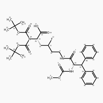 COC(=O)N[C@H](C(=O)NCCC(F)C[C@@H](C(=O)O)N(C(=O)OC(C)(C)C)C(=O)OC(C)(C)C)C(c1ccccc1)c1ccccc1